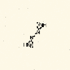 C(C=Nc1cn[nH]c1)=Nc1cn[nH]c1